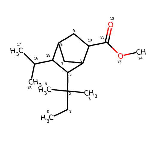 CCC(C)(C)C1C2CC(CC2C(=O)OC)C1C(C)C